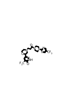 O=C(CCN1CCOC(c2cc(C(F)(F)F)c(=O)[nH]n2)C1)N1CCN(c2ncc(C(F)(F)F)cn2)CC1